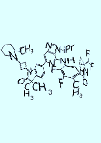 Cc1c(C(=O)NC2(C(F)F)CC2)cc(Nc2nc(-c3ccc4c(c3)N([C@H]3C[C@@H](N5CCCC[C@@H]5C)C3)C(=O)C4(C)C)cc3ncn(C(C)C)c23)c(F)c1F